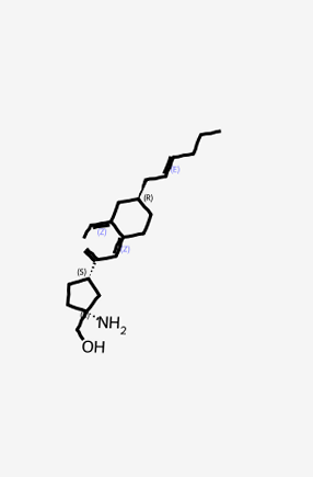 C=C(/C=C1/CC[C@H](C/C=C/CCC)C/C1=C/C)[C@H]1CC[C@](N)(CO)C1